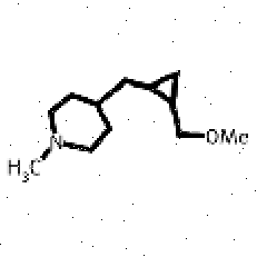 COCC1CC1CC1CCN(C)CC1